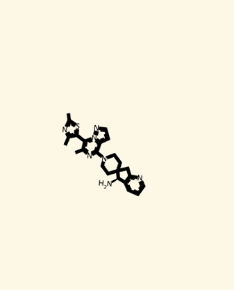 Cc1nc(C)c(-c2c(C)nc(N3CCC4(CC3)Cc3ncccc3[C@H]4N)c3ccnn23)s1